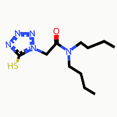 CCCCN(CCCC)C(=O)Cn1nnnc1S